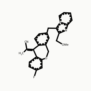 COCc1nc2ccccn2c1Cc1ccc2c(c1)COc1cc(F)ccc1/C2=C(\C)C#N